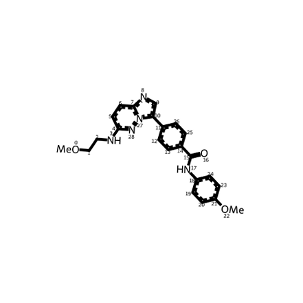 COCCNc1ccc2ncc(-c3ccc(C(=O)Nc4ccc(OC)cc4)cc3)n2n1